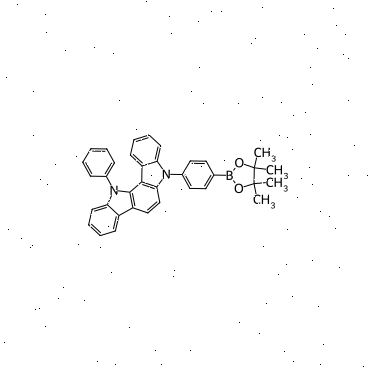 CC1(C)OB(c2ccc(-n3c4ccccc4c4c3ccc3c5ccccc5n(-c5ccccc5)c34)cc2)OC1(C)C